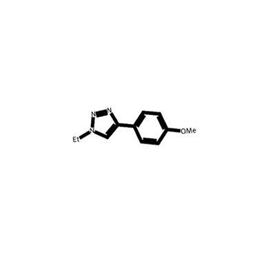 CCn1cc(-c2ccc(OC)cc2)nn1